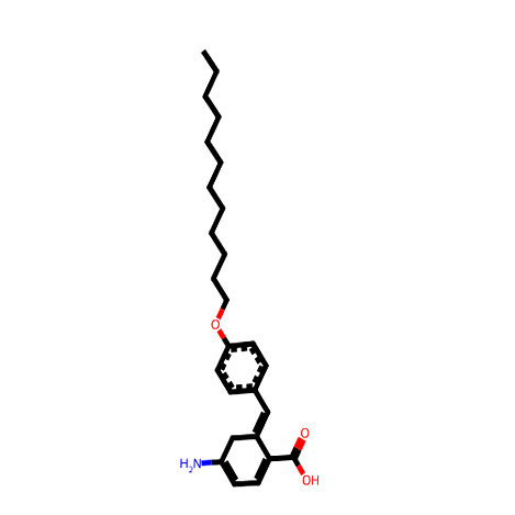 CCCCCCCCCCCCOc1ccc(C=C2CC(N)=CC=C2C(=O)O)cc1